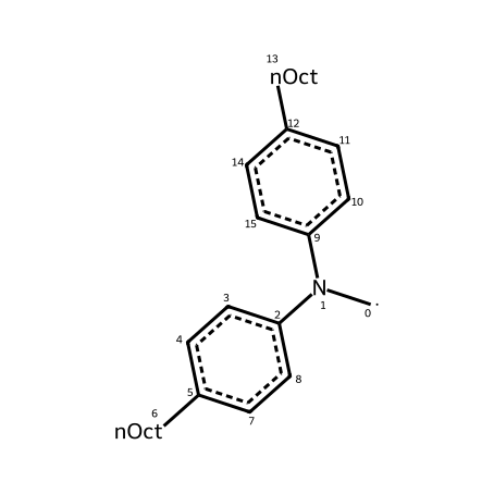 [CH2]N(c1ccc(CCCCCCCC)cc1)c1ccc(CCCCCCCC)cc1